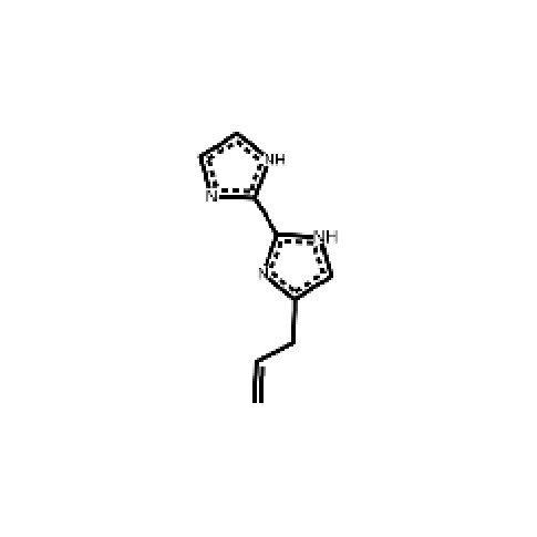 C=CCc1c[nH]c(-c2ncc[nH]2)n1